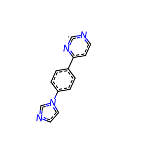 [c]1nccc(-c2ccc(-n3ccnc3)cc2)n1